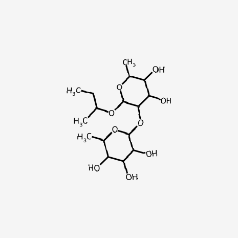 CCC(C)OC1OC(C)C(O)C(O)C1OC1OC(C)C(O)C(O)C1O